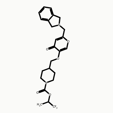 CC(OC(=O)N1CCC(COc2coc(CN3Cc4ccccc4C3)cc2=O)CC1)C(F)(F)F